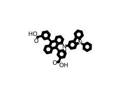 O=C(O)c1cccc(-c2c3ccccc3c(-c3cccc(C(=O)O)c3)c3c(Nc4ccc5c(c4)c4ccccc4n5-c4ccccc4)cccc23)c1